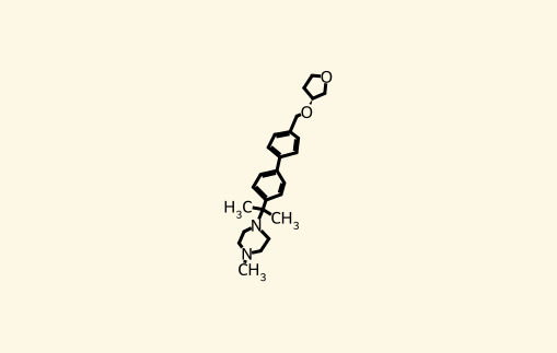 CN1CCN(C(C)(C)c2ccc(-c3ccc(CO[C@@H]4CCOC4)cc3)cc2)CC1